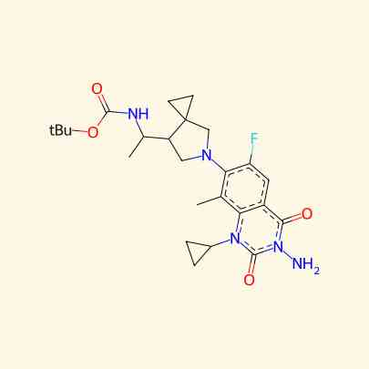 Cc1c(N2CC(C(C)NC(=O)OC(C)(C)C)C3(CC3)C2)c(F)cc2c(=O)n(N)c(=O)n(C3CC3)c12